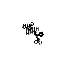 COC(=O)CCC(CCc1nc2[nH]c(=O)[nH]c(=O)c2[nH]1)C1CCCC1